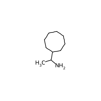 CC(N)C1CCCCCCC1